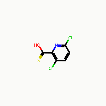 OC(=S)c1nc(Cl)ccc1Cl